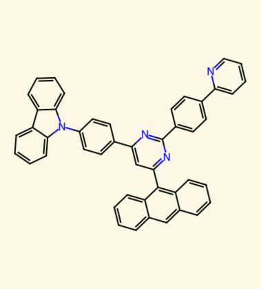 c1ccc(-c2ccc(-c3nc(-c4ccc(-n5c6ccccc6c6ccccc65)cc4)cc(-c4c5ccccc5cc5ccccc45)n3)cc2)nc1